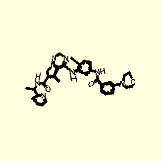 CC1=C2C(Nc3cc(NC(=O)c4cccc(N5CCOCC5)c4)ccc3C)=NC=NN2CC1C(=O)NC(C)c1ccccn1